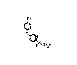 CCOC(=O)C(F)(F)c1ccc(Oc2ccc(CC)cc2)cn1